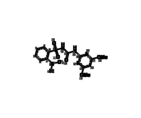 CC[S+]([O-])c1ccccc1S(=O)(=O)NC(=O)Nc1nc(OC)cc(OC)n1